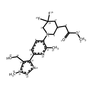 COC(=O)CC1CN(c2ccc(-c3nnn(C)c3CO)nc2C)CC(F)(F)C1